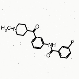 CN1CCC(C(=O)c2cccc(NC(=O)c3cccc(F)c3)c2)CC1